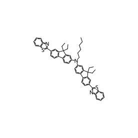 CCCCCCN(c1ccc2c(c1)C(CC)(CC)c1cc(-c3nc4ccccc4s3)ccc1-2)c1ccc2c(c1)C(CC)(CC)c1cc(-c3nc4ccccc4s3)ccc1-2